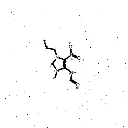 CCCN1CN(C)C(NC=O)=C1[N+](=O)[O-]